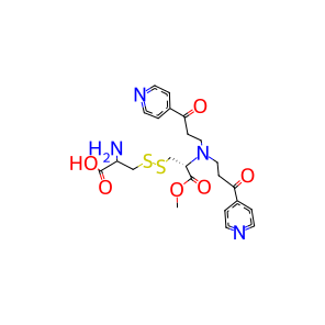 COC(=O)[C@H](CSSCC(N)C(=O)O)N(CCC(=O)c1ccncc1)CCC(=O)c1ccncc1